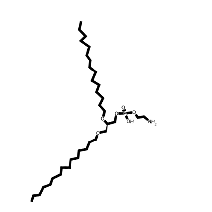 CCCCCCCCCCCCCCCOC[C@H](COP(=O)(O)OCCN)OCCCCCCCCCCCCCCC